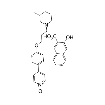 CC1CCCN(CCCOc2ccc(-c3cc[n+]([O-])cc3)cc2)C1.O=C(O)c1cc2ccccc2cc1O